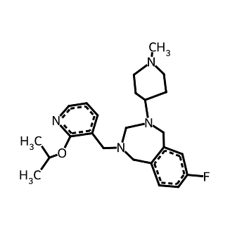 CC(C)Oc1ncccc1CN1Cc2ccc(F)cc2CN(C2CCN(C)CC2)C1